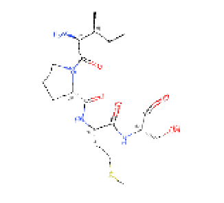 CC[C@H](C)[C@H](N)C(=O)N1CCC[C@H]1C(=O)N[C@@H](CCSC)C(=O)N[C@H]([C]=O)CO